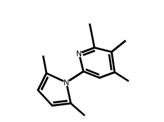 Cc1cc(-n2c(C)ccc2C)nc(C)c1C